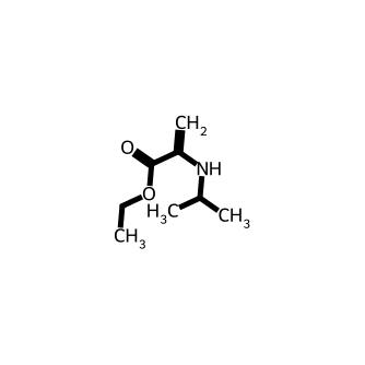 C=C(NC(C)C)C(=O)OCC